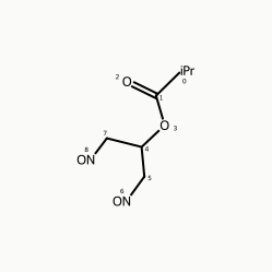 CC(C)C(=O)OC(CN=O)CN=O